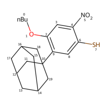 CCCCOc1cc([N+](=O)[O-])c(S)cc1C12CC3CC(CC(C3)C1)C2